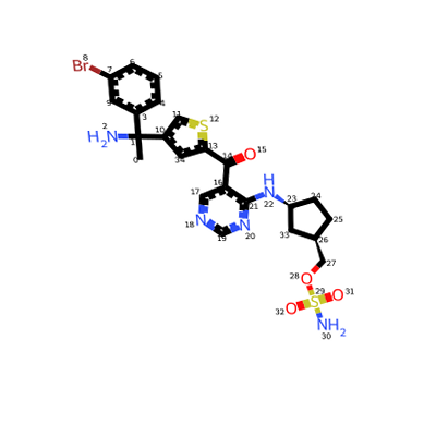 CC(N)(c1cccc(Br)c1)c1csc(C(=O)c2cncnc2N[C@H]2CC[C@@H](COS(N)(=O)=O)C2)c1